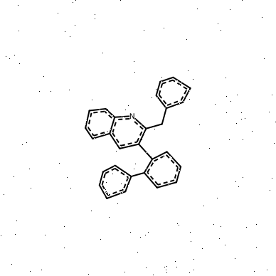 c1ccc(Cc2nc3ccccc3cc2-c2ccccc2-c2ccccc2)cc1